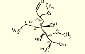 CCO[C@](O)([C@@](O)(C=O)OC)[C@](O)(OC)[C@H](C)O